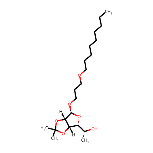 CCCCCCCCCOCCCO[C@H]1O[C@H]([C@@H](C)O)[C@@H]2OC(C)(C)O[C@H]12